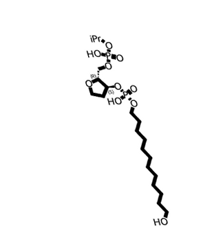 CC(C)OP(=O)(O)OC[C@H]1OCC[C@@H]1OP(=O)(O)OCCCCCCCCCCCCO